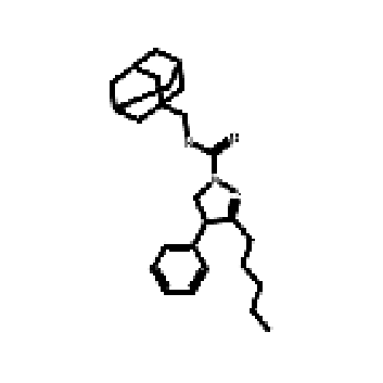 CCCCCC1=NN(C(=O)NCC23CC4CC(CC(C4)C2)C3)CC1c1ccccc1